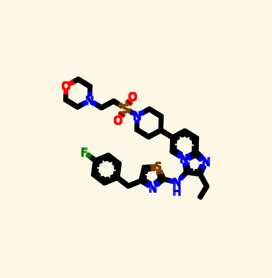 CCc1nc2ccc(C3CCN(S(=O)(=O)CCN4CCOCC4)CC3)cn2c1Nc1nc(Cc2ccc(F)cc2)cs1